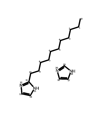 CCCCCCCCCCCc1ncc[nH]1.c1c[nH]cn1